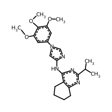 COc1cc(-n2cnc(Nc3nc(C(C)C)nc4c3CCCC4)c2)cc(OC)c1OC